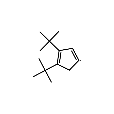 CC(C)(C)C1=C(C(C)(C)C)C[C]=C1